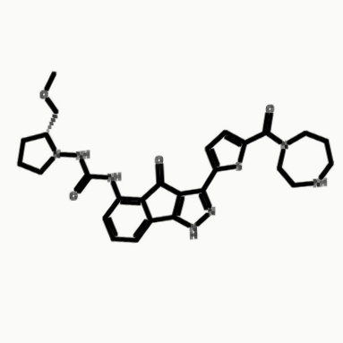 COC[C@H]1CCCN1NC(=O)Nc1cccc2c1C(=O)c1c(-c3ccc(C(=O)N4CCCNCC4)s3)n[nH]c1-2